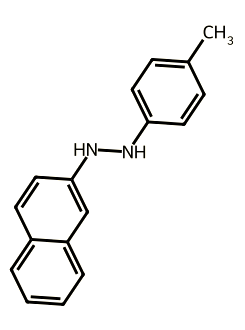 Cc1ccc(NNc2ccc3ccccc3c2)cc1